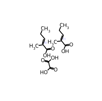 CC/C=C(\C)C(=O)O.CC/C=C(\C)C(=O)O.O=C(O)C(=O)O